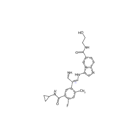 Cc1cc(F)c(C(=O)NC2CC2)cc1/C(C=N)=C/Nc1cnc2ccc(C(=O)NCCO)cn12